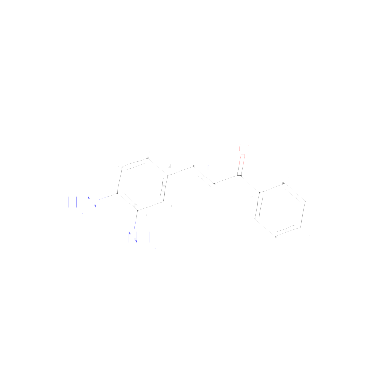 Nc1ccc(/C=C/C(=O)c2ccccc2)cc1N